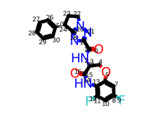 O=C(N[C@H]1COc2cc(F)cc(F)c2NC1=O)c1nc2n(n1)CC[C@H]2c1ccccc1